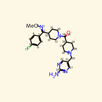 CO/N=C(\c1ccc(F)cc1)C1CCN(C(=O)C2CCN(Cc3cnc(N)nc3)CC2)CC1